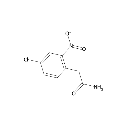 NC(=O)Cc1ccc(Cl)cc1[N+](=O)[O-]